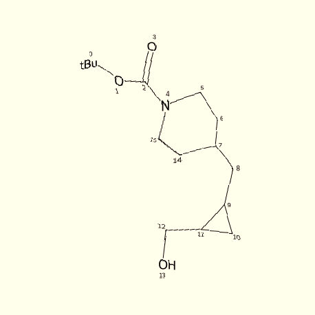 CC(C)(C)OC(=O)N1CCC(CC2CC2CO)CC1